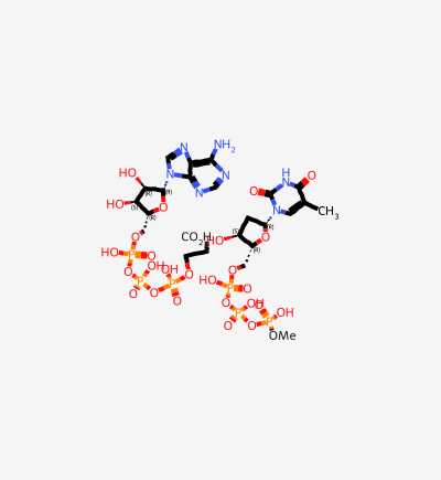 COP(=O)(O)OP(=O)(O)OP(=O)(O)OC[C@H]1O[C@@H](n2cc(C)c(=O)[nH]c2=O)C[C@@H]1O.Nc1ncnc2c1ncn2[C@@H]1O[C@H](COP(=O)(O)OP(=O)(O)OP(=O)(O)OCCC(=O)O)[C@@H](O)[C@H]1O